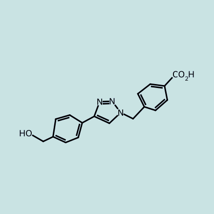 O=C(O)c1ccc(Cn2cc(-c3ccc(CO)cc3)nn2)cc1